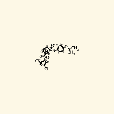 CC(C)Oc1ccc(NC(=O)C2CC3CCC2N(S(=O)(=O)c2cc(Cl)sc2Cl)C3)cc1